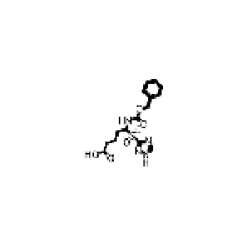 O=C(O)CCCC(NC(=O)OCc1ccccc1)S(=O)(=O)c1nc[nH]n1